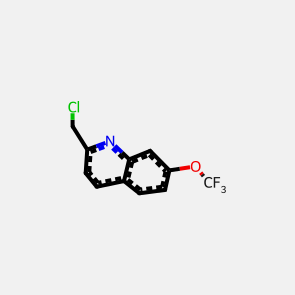 FC(F)(F)Oc1ccc2ccc(CCl)nc2c1